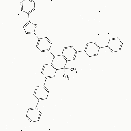 CC1(C)c2cc(-c3ccc(-c4ccccc4)cc3)ccc2N(c2ccc(-c3ccc(-c4ccccc4)s3)cc2)c2ccc(-c3ccc(-c4ccccc4)cc3)cc21